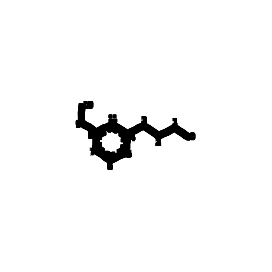 CCCCc1[c]ccc(CC)c1